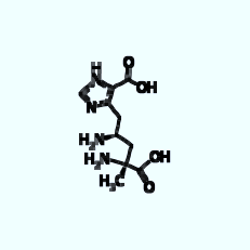 C[C@@](N)(C[C@@H](N)Cc1nc[nH]c1C(=O)O)C(=O)O